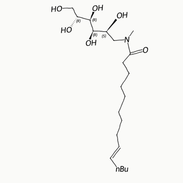 CCCCC=CCCCCCCCC(=O)N(C)C[C@H](O)[C@@H](O)[C@H](O)[C@H](O)CO